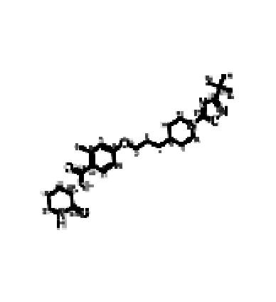 Cc1cc(OCCCC2CCN(c3nc(C(C)(C)C)no3)CC2)ccc1C(=O)N[C@H]1CCCNC1=O